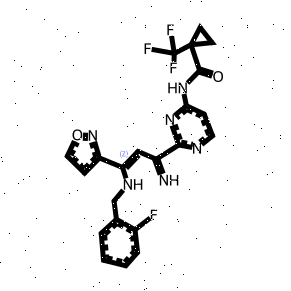 N=C(/C=C(\NCc1ccccc1F)c1ccon1)c1nccc(NC(=O)C2(C(F)(F)F)CC2)n1